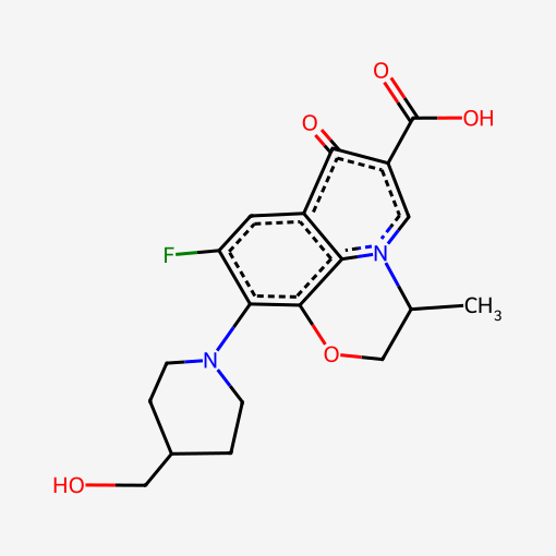 CC1COc2c(N3CCC(CO)CC3)c(F)cc3c(=O)c(C(=O)O)cn1c23